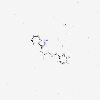 C[C@H](Cc1c[nH]c2ccccc12)NCCc1ccccc1